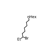 CCCCCCCCCCCCC(Br)CC